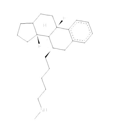 CNCCCCC[C@@H]1Cc2ccccc2[C@H]2CC[C@]3(C)CCC[C@H]3[C@H]12